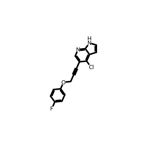 Fc1ccc(OCC#Cc2cnc3[nH]ccc3c2Cl)cc1